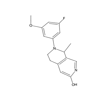 COc1cc(F)cc(N2CCc3cc(O)ncc3C2C)c1